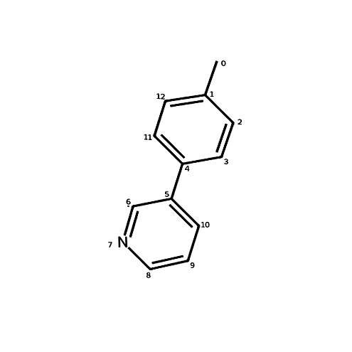 Cc1ccc(-c2[c]nccc2)cc1